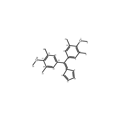 COc1c(C)cc(C(=C2C=CC=C2)c2cc(C)c(OC)c(C)c2)cc1C